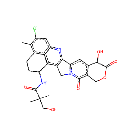 Cc1c(Cl)cc2nc3c(c4c2c1CCC4NC(=O)C(C)(C)CO)Cn1c-3cc2c(c1=O)COC(=O)C2O